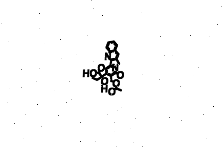 CC[C@](O)(C(=O)O)c1cc2n(c(=O)c1COC(C)=O)Cc1cc3ccccc3nc1-2